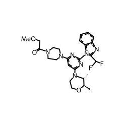 COCC(=O)N1CCN(c2cc(N3CCO[C@H](C)[C@H]3C)nc(-n3c(C(F)F)nc4ccccc43)n2)CC1